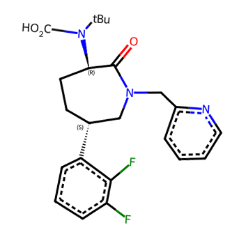 CC(C)(C)N(C(=O)O)[C@@H]1CC[C@@H](c2cccc(F)c2F)CN(Cc2ccccn2)C1=O